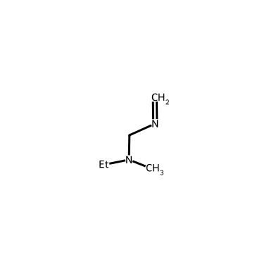 C=NCN(C)CC